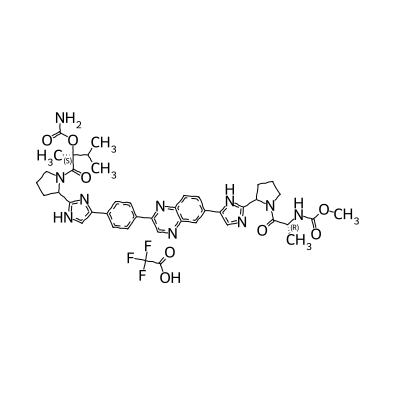 COC(=O)N[C@H](C)C(=O)N1CCCC1c1ncc(-c2ccc3nc(-c4ccc(-c5c[nH]c(C6CCCN6C(=O)[C@@](C)(OC(N)=O)C(C)C)n5)cc4)cnc3c2)[nH]1.O=C(O)C(F)(F)F